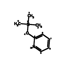 C[Si](C)(C)Oc1ccccn1